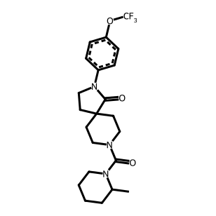 CC1CCCCN1C(=O)N1CCC2(CC1)CCN(c1ccc(OC(F)(F)F)cc1)C2=O